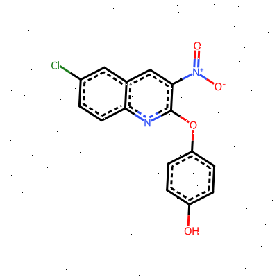 O=[N+]([O-])c1cc2cc(Cl)ccc2nc1Oc1ccc(O)cc1